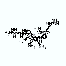 N=C(N)NCCCCC(=O)Nc1cccc(NC(=O)c2cc(C(=O)Nc3cccc(NC(=N)NCCCNC(=N)N)c3SCCN)c(OCCN)cc2OCCN)c1SCCN